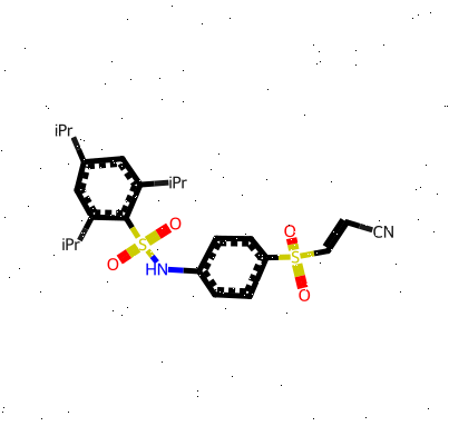 CC(C)c1cc(C(C)C)c(S(=O)(=O)Nc2ccc(S(=O)(=O)/C=C/C#N)cc2)c(C(C)C)c1